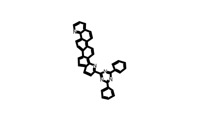 c1ccc(-c2nc(-c3ccccc3)nc(-c3ccc4ccc5c6ccc7c(ccc8cccnc87)c6ccc5c4n3)n2)cc1